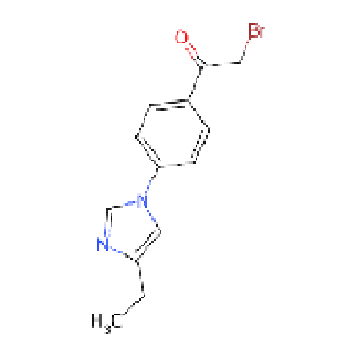 CCc1cn(-c2ccc(C(=O)CBr)cc2)cn1